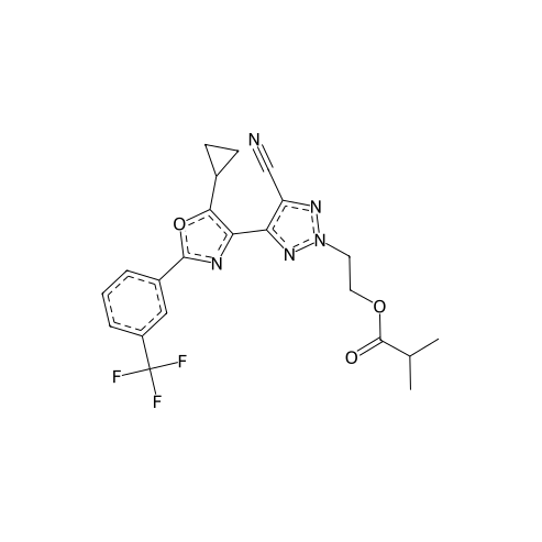 CC(C)C(=O)OCCn1nc(C#N)c(-c2nc(-c3cccc(C(F)(F)F)c3)oc2C2CC2)n1